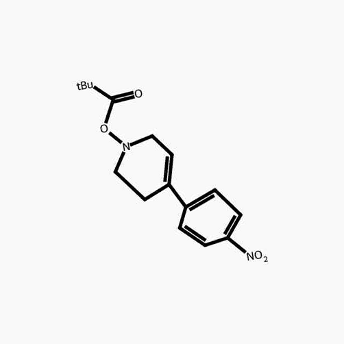 CC(C)(C)C(=O)ON1CC=C(c2ccc([N+](=O)[O-])cc2)CC1